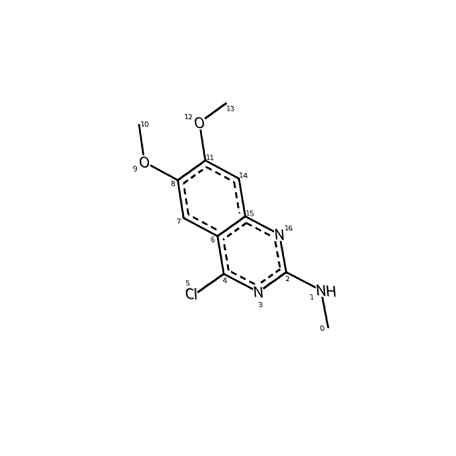 CNc1nc(Cl)c2cc(OC)c(OC)cc2n1